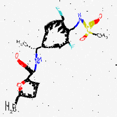 Bc1ccc(C(=O)N[C@H](C)c2cc(F)c(NS(C)(=O)=O)c(F)c2)o1